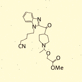 COC(=O)COC(C)N1CCC(C(=O)c2nc3ccccc3n2CCCCC#N)CC1